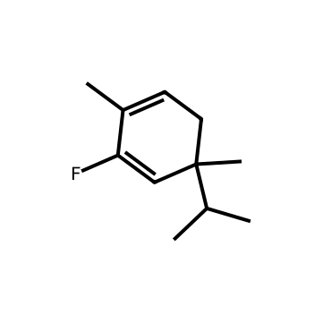 CC1=CCC(C)(C(C)C)C=C1F